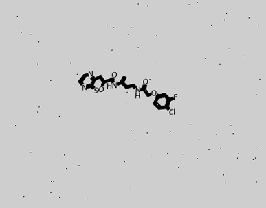 C=C(CCNC(=O)COc1ccc(Cl)c(F)c1)NC(=O)C1Cc2nccnc2SO1